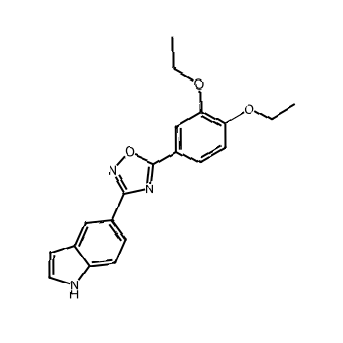 CCOc1ccc(-c2nc(-c3ccc4[nH]ccc4c3)no2)cc1OCC